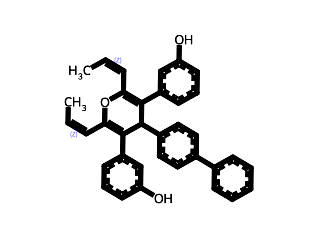 C/C=C\C1=C(c2cccc(O)c2)C(c2ccc(-c3ccccc3)cc2)C(c2cccc(O)c2)=C(/C=C\C)O1